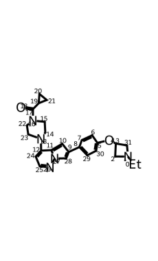 CCN1CC(Oc2ccc(-c3cc4c(N5CCN(C(=O)C6CC6)CC5)ccnn4c3)cc2)C1